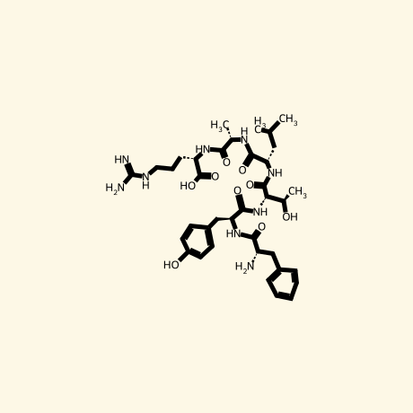 CC(C)C[C@H](NC(=O)[C@@H](NC(=O)[C@H](Cc1ccc(O)cc1)NC(=O)[C@@H](N)Cc1ccccc1)[C@@H](C)O)C(=O)N[C@@H](C)C(=O)N[C@@H](CCCNC(=N)N)C(=O)O